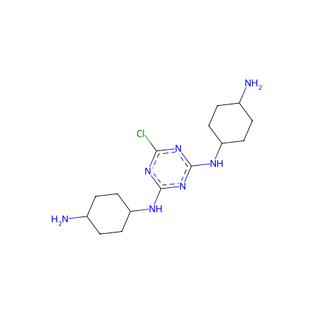 NC1CCC(Nc2nc(Cl)nc(NC3CCC(N)CC3)n2)CC1